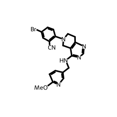 COc1ccc(CNc2ncnc3c2CN(c2ccc(Br)cc2C#N)CC3)cn1